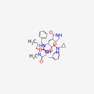 CCC[C@@H](C(=O)N[C@@H](C[C@@H]1CCNC1=O)C(=O)C(=O)NC1CC1)N(C)C(=O)[C@@H](Cc1ccccc1)NC(=O)CCc1ccccc1